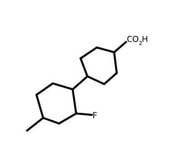 CC1CCC(C2CCC(C(=O)O)CC2)C(F)C1